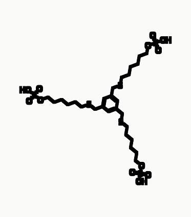 O=S(=O)(O)OCCCCCCSCc1cc(CSCCCCCCOS(=O)(=O)O)cc(CSCCCCCCOS(=O)(=O)O)c1